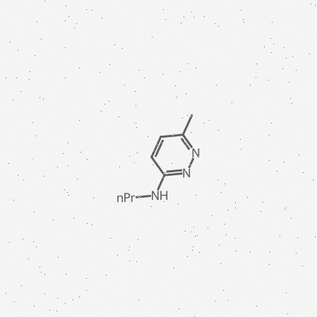 CCCNc1ccc(C)nn1